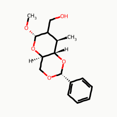 CO[C@H]1O[C@@H]2CO[C@@H](c3ccccc3)O[C@H]2[C@H](C)C1CO